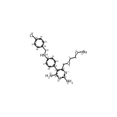 CCCCOCCOCc1nc(N)nc(N)c1-c1ccc(NCc2ccc(Cl)cc2)cc1